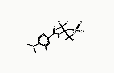 CN(C)c1ccc(C(=O)NC(CS(=O)(=O)O)(C(F)(F)F)C(F)(F)F)cc1I